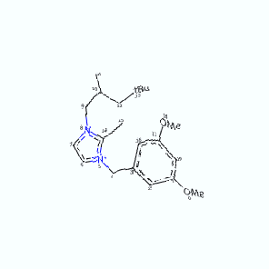 COc1cc(C[n+]2ccn(CC(C)CC(C)(C)C)c2C)cc(OC)c1